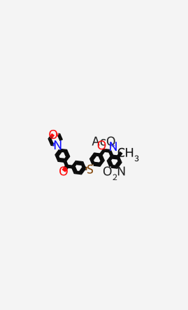 CC(=O)O/N=C(\C(=O)c1ccc(Sc2ccc(C(=O)c3ccc(N4CCOCC4)cc3)cc2)cc1)c1cc([N+](=O)[O-])ccc1C